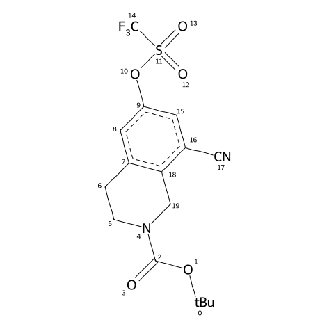 CC(C)(C)OC(=O)N1CCc2cc(OS(=O)(=O)C(F)(F)F)cc(C#N)c2C1